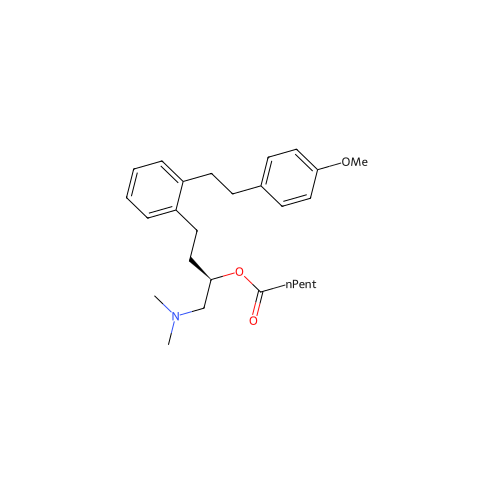 CCCCCC(=O)O[C@H](CCc1ccccc1CCc1ccc(OC)cc1)CN(C)C